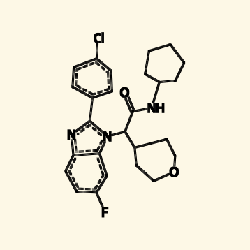 O=C(NC1CCCCC1)C(C1CCOCC1)n1c(-c2ccc(Cl)cc2)nc2ccc(F)cc21